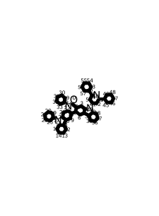 O=c1c2cc3c(cc2c2cc4c5ccccc5n(-c5ccccc5)c4cc2n1-c1ccccc1)c1ccccc1n3-c1cc(-c2ccccc2)nc(-c2ccccc2)c1